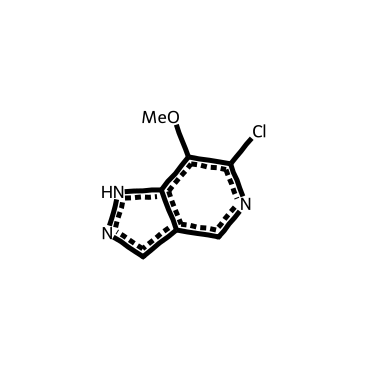 COc1c(Cl)ncc2cn[nH]c12